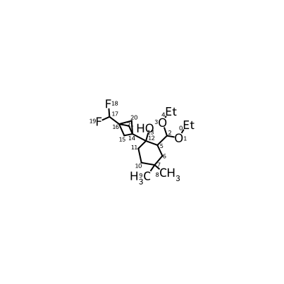 CCOC(OCC)C1CC(C)(C)CCC1(O)C12CC(C(F)F)(C1)C2